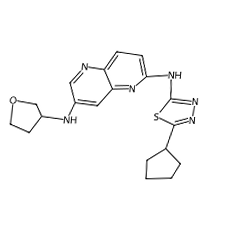 c1nc2ccc(Nc3nnc(C4CCCC4)s3)nc2cc1NC1CCOC1